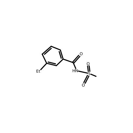 CCc1cccc(C(=O)NS(C)(=O)=O)c1